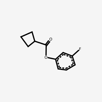 O=C(Oc1cccc(F)c1)C1CCC1